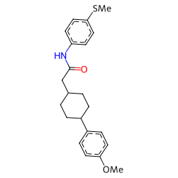 COc1ccc(C2CCC(CC(=O)Nc3ccc(SC)cc3)CC2)cc1